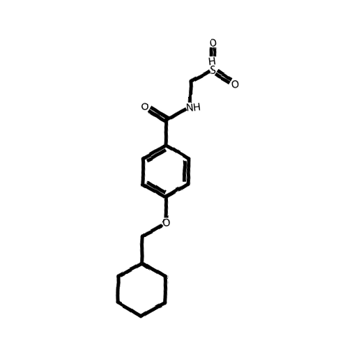 O=C(NC[SH](=O)=O)c1ccc(OCC2CCCCC2)cc1